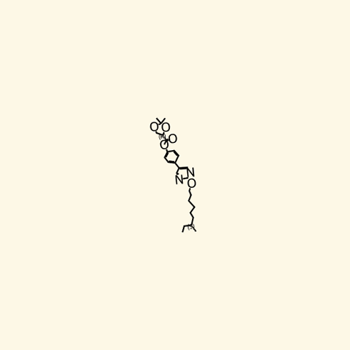 CC[C@H](C)CCCCCCOc1ncc(-c2ccc(OC(=O)[C@H]3COC(C)(C)O3)cc2)cn1